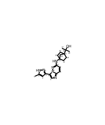 Cc1cc(-c2cnc3ccc(NC45CCC(C(C)(C)O)(CC4)C5)nn23)n[nH]1